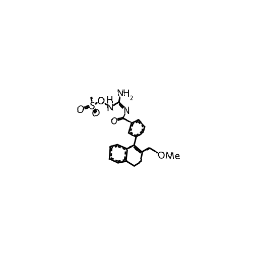 COCC1=C(c2cccc(C(=O)N=C(N)NOS(C)(=O)=O)c2)c2ccccc2CC1